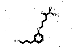 CN(C)C(=O)CCCOc1cccc(CCCN)c1